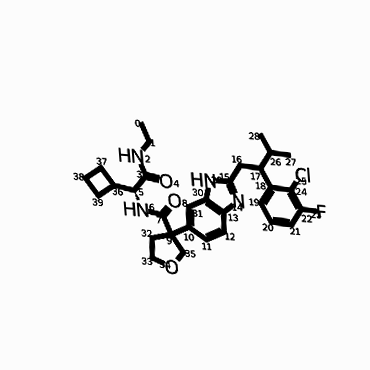 CCNC(=O)[C@H](NC(=O)C1(c2ccc3nc(CC(c4cccc(F)c4Cl)C(C)C)[nH]c3c2)CCOC1)C1CCC1